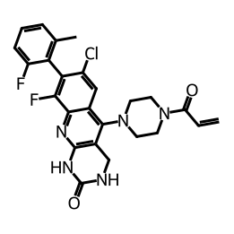 C=CC(=O)N1CCN(c2c3c(nc4c(F)c(-c5c(C)cccc5F)c(Cl)cc24)NC(=O)NC3)CC1